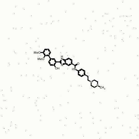 COc1cccc(-c2ccc(O)c(-c3nc4cc(C(=O)Nc5ccc(CCN6CCN(C)CC6)cc5)ccc4[nH]3)c2)c1OC